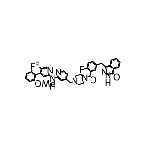 COc1cccc(F)c1-c1cc(Nc2cc(CN3CCN(C(=O)c4cc(Cc5n[nH]c(=O)c6ccccc56)ccc4F)CC3)ccn2)ncc1F